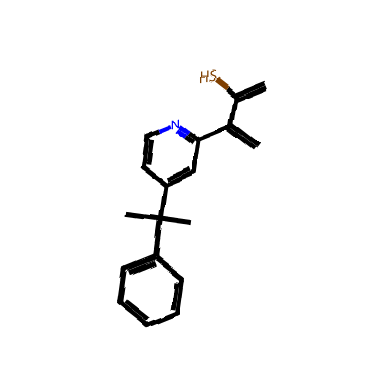 C=C(S)C(=C)c1cc(C(C)(C)c2ccccc2)ccn1